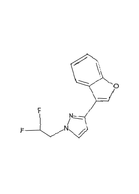 FC(F)Cn1ccc(-c2coc3ccccc23)n1